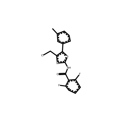 Cc1cccc(-c2sc(NC(=O)c3c(F)cccc3F)nc2CCl)c1